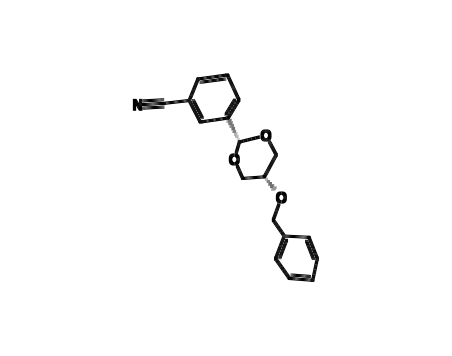 N#Cc1cccc([C@H]2OC[C@@H](OCc3ccccc3)CO2)c1